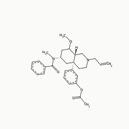 C=CCN1CC[C@@]2(c3cccc(OC(C)=O)c3)C[C@H](N(C)C(=O)c3ccccc3)CC(OC)[C@@H]2C1